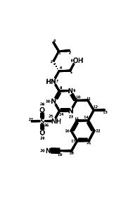 CC(C)C[C@H](CO)Nc1nc(CC(C)c2ccc(CC#N)cc2)nc(NS(C)(=O)=O)n1